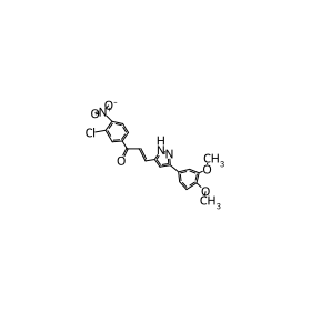 COc1ccc(-c2cc(C=CC(=O)c3ccc([N+](=O)[O-])c(Cl)c3)[nH]n2)cc1OC